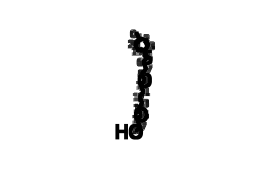 Cc1ccc(SCCCOCCCCCOCCO)cc1